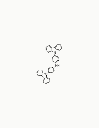 c1ccc2c(c1)c1ccccc1n2-c1ccc(Nc2ccc(-n3c4ccccc4c4ccccc43)cc2)cc1